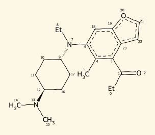 CCC(=O)c1c(C)c(N(CC)[C@H]2CC[C@H](N(C)C)CC2)cc2occc12